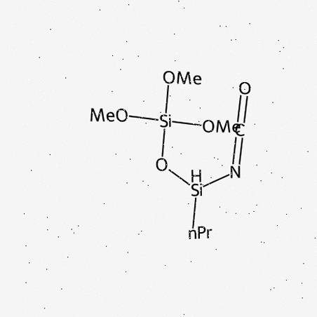 CCC[SiH](N=C=O)O[Si](OC)(OC)OC